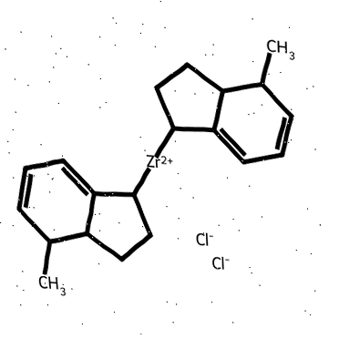 CC1C=CC=C2[CH]([Zr+2][CH]3CCC4C3=CC=CC4C)CCC21.[Cl-].[Cl-]